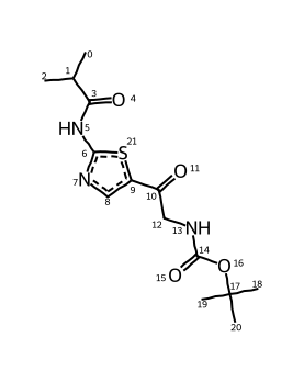 CC(C)C(=O)Nc1ncc(C(=O)CNC(=O)OC(C)(C)C)s1